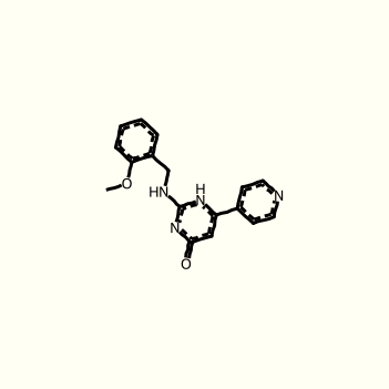 COc1ccccc1CNc1nc(=O)cc(-c2ccncc2)[nH]1